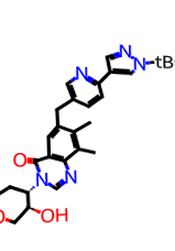 Cc1c(Cc2ccc(-c3cnn(C(C)(C)C)c3)nc2)cc2c(=O)n([C@H]3CCOC[C@@H]3O)cnc2c1C